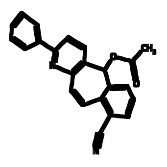 CC(=O)OC1c2ccc(-c3ccccc3)nc2C=Cc2c(C#N)cccc21